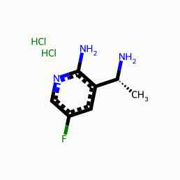 C[C@@H](N)c1cc(F)cnc1N.Cl.Cl